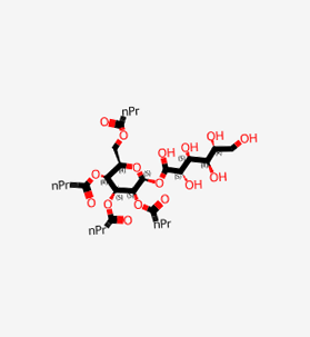 CCCC(=O)OC[C@H]1O[C@@H](OC(O)[C@@H](O)[C@@H](O)[C@H](O)[C@H](O)CO)[C@@H](OC(=O)CCC)[C@@H](OC(=O)CCC)[C@@H]1OC(=O)CCC